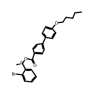 CCCCCOc1ccc(-c2ccc(C(=O)O[C@H](C)c3ccccc3Br)cc2)cc1